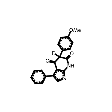 COc1ccc(C2(F)C(=O)Nc3scc(-c4ccccc4)c3C2=O)cc1